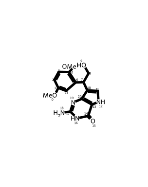 COc1ccc(OC)c(C(CO)c2c[nH]c3c(=O)[nH]c(N)nc23)c1